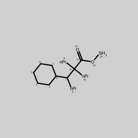 CCCC(C1CCCCC1)C(CCC)(CCC)C(=O)O[SiH3]